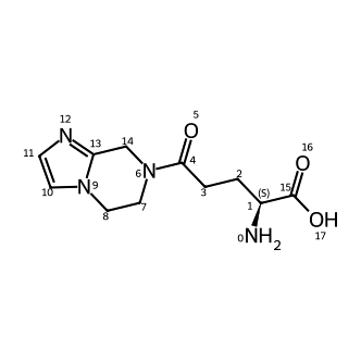 N[C@@H](CCC(=O)N1CCn2ccnc2C1)C(=O)O